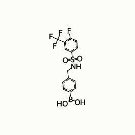 O=S(=O)(NCc1ccc(B(O)O)cc1)c1ccc(F)c(C(F)(F)F)c1